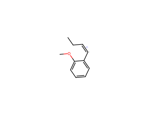 CC/C=[C]\c1ccccc1OC